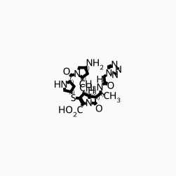 C[C@@H]1C[C@@H](N)CN1C(=O)[C@@H]1C[C@H](SC2=C(C(=O)O)N3C(=O)[C@H]([C@@H](C)NC(=O)Cn4cnnn4)[C@H]3[C@H]2C)CN1